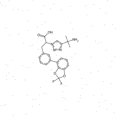 CC(C)(N)c1cn(C(Cc2cccc(-c3cccc4c3OC(F)(F)O4)c2)C(=O)O)nn1